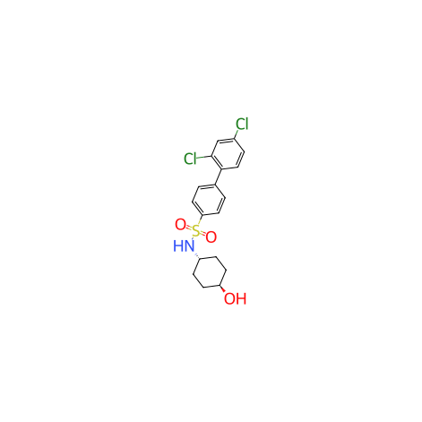 O=S(=O)(N[C@H]1CC[C@H](O)CC1)c1ccc(-c2ccc(Cl)cc2Cl)cc1